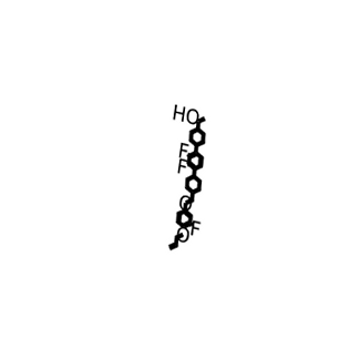 C=CCOc1ccc(OCC2CCC(c3ccc(C4CCC(C(C)O)CC4)c(F)c3F)CC2)cc1F